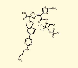 CC1(C)[C@H](NC(=O)/C(=N\O[C@](C)(C(=O)O)[C@H]2CCc3cc(-c4cnc(NCCCN)nc4)ccc3O2)c2csc(N)n2)C(=O)N1OS(=O)(=O)O